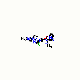 CN1CCC(N(C)c2ncc(Cl)c(N3CC(C(=O)NC(C)(C)c4cnc5ccccn45)C3)n2)C1